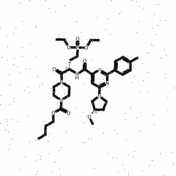 CCCCOC(=O)N1CCN(C(=O)[C@H](CCP(=O)(OCC)OCC)NC(=O)c2cc(N3CC[C@H](OC)C3)nc(-c3ccc(C)cc3)n2)CC1